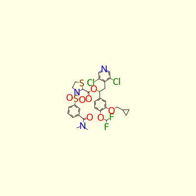 CN(C)C(=O)c1cccc(S(=O)(=O)N2CCSC2C(=O)OC(Cc2c(Cl)cncc2Cl)c2ccc(OC(F)F)c(OCC3CC3)c2)c1